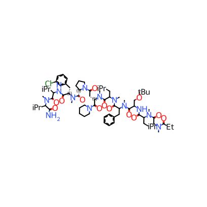 CCC(=O)N(C)CC(=O)N(C)C(CC(C)C)C(=O)NC(COC(C)(C)C)C(=O)N(C)C(Cc1ccccc1)C(=O)N(C)C(CC(C)C)C(=O)N(C)[C@@H](CC(=O)N1CCC[C@H]1C(=O)N(C)[C@@H](Cc1cccc(Cl)c1)C(=O)NC(C(=O)N(C)C(C(N)=O)C(C)C)C(C)C)C(=O)N1CCCCC1